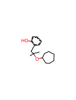 CC(C)(Cc1ccccc1O)OC1CCCCCC1